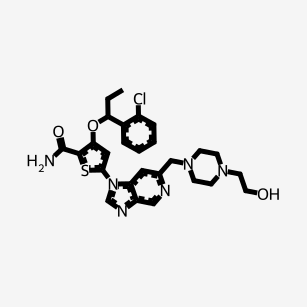 CCC(Oc1cc(-n2cnc3cnc(CN4CCN(CCO)CC4)cc32)sc1C(N)=O)c1ccccc1Cl